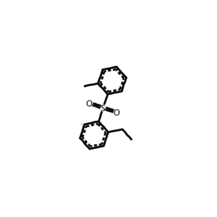 CCc1ccc[c]c1S(=O)(=O)c1ccccc1C